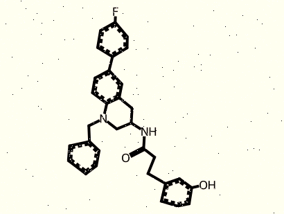 O=C(CCc1cccc(O)c1)NC1Cc2cc(-c3ccc(F)cc3)ccc2N(Cc2ccccc2)C1